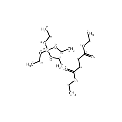 CCOC(=O)CCC(=O)OCC.CCO[Si](OCC)(OCC)OCC